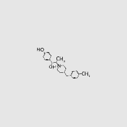 Cc1ccc(CC2CCN(C(C)C(O)c3ccc(O)cc3)CC2)cc1